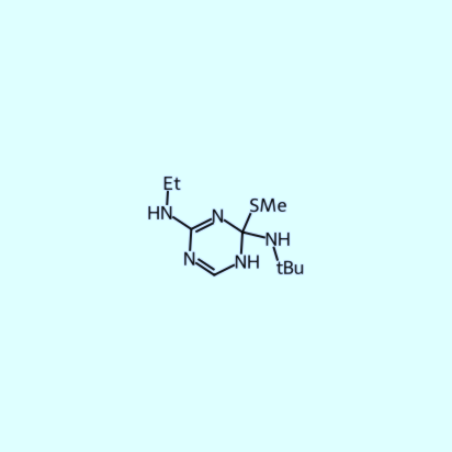 CCNC1=NC(NC(C)(C)C)(SC)NC=N1